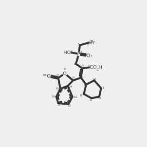 CC(C)CP(=O)(O)CC(C(=O)O)=C(C1CCCCC1)C1OC(=O)c2ccccc21